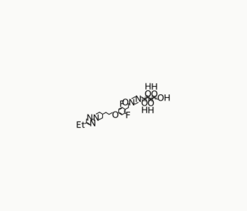 CCc1cnc(N2CCC(CCCOc3cc(F)c(CC(=O)N4CCN(C[C@H](O)[C@@H](O)[C@H](O)[C@H](O)CO)CC4)c(F)c3)CC2)nc1